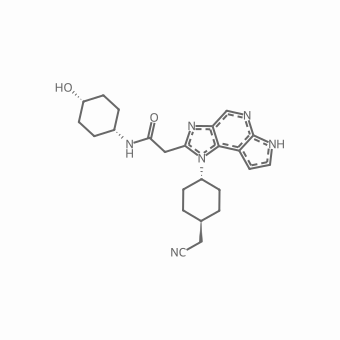 N#CC[C@H]1CC[C@H](n2c(CC(=O)N[C@H]3CC[C@@H](O)CC3)nc3cnc4[nH]ccc4c32)CC1